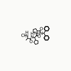 CC(NCl)C(=O)NC(C(=O)N1CCCC1C(=O)NC(c1ccccc1)c1ccccc1)C1CCCC1